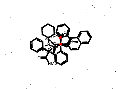 CNC(=O)C(O)(c1ccccc1)c1ccccc1[N+](C(=O)[C@@H]1CCCC[C@@H]1N(C)C(=O)c1cn(C)c2ccccc12)(c1ccc2ccccc2c1)[C@@H](C)C(=O)O